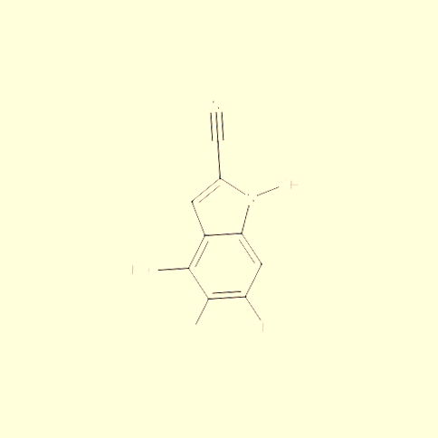 Cc1c(F)c(F)cc2c1cc(C#N)n2C